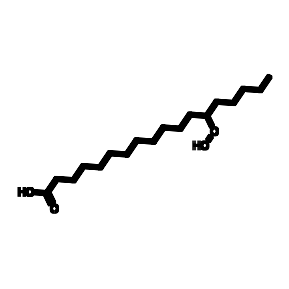 CCCCCC(CCCCCCCCCCCC(=O)O)OO